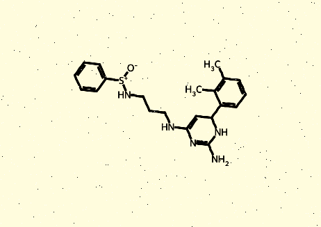 Cc1cccc(C2C=C(NCCCN[S+]([O-])c3ccccc3)N=C(N)N2)c1C